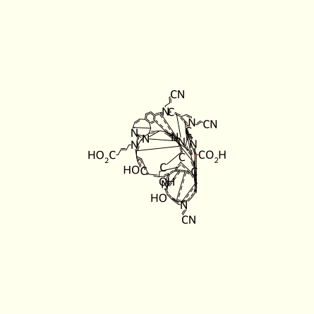 N#C/C=C/Cn1cc2c3c4c(cc5c6c7c8c9c(n-2c2c%10cc%11c%12c(ccc%11c21)C=CC1=NC2=C%11/C(=C\C%13C(=C/9%10)/C9=N\C%10/C%14=C%15\Cc%16c%17c%18c(cnc%19c(O)c%20c%21c%22c(cc%23c%24c%22c(c%16c%21c%19%18)C\C(=C\98)C=%24C7C(=N5)C=%23C(=O)O)N(/C=C/C#N)C=%20)=C(O)/C(=C/c5cc(O)c7c(c5)C%14=C(C(=C2)N7C/C=C/CC(=O)O)C%11N%10%13)C%17C%15)C1%12)C46)N(/C=C/C#N)C=C3